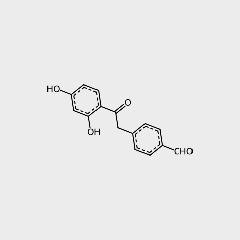 O=Cc1ccc(CC(=O)c2ccc(O)cc2O)cc1